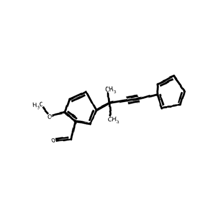 COc1ccc(C(C)(C)C#Cc2ccccc2)cc1C=O